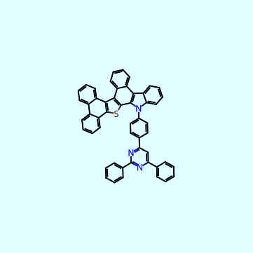 c1ccc(-c2cc(-c3ccc(-n4c5ccccc5c5c6ccccc6c6c(sc7c8ccccc8c8ccccc8c76)c54)cc3)nc(-c3ccccc3)n2)cc1